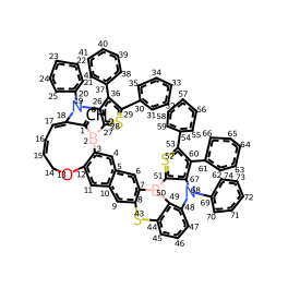 C=C1B2c3cc4cc5c(cc4cc3OC/C=C\C=C/1N(c1ccccc1)c1c2sc(-c2ccccc2)c1-c1ccccc1)Sc1cccc2c1B5c1sc(-c3ccccc3)c(-c3ccccc3)c1N2c1ccccc1